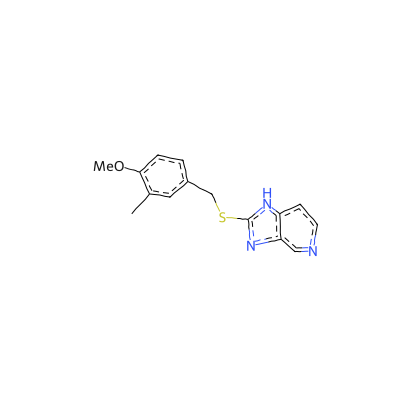 COc1ccc(CSc2nc3cnccc3[nH]2)cc1C